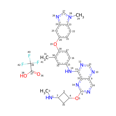 CNC1CC(Oc2ncc3ncnc(Nc4ccc(Oc5ccc6c(c5)ncn6C)c(C)c4)c3n2)C1.O=C(O)C(F)(F)F